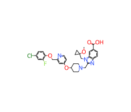 COC1(Cn2c(CN3CCC(Oc4ccnc(COc5ccc(Cl)cc5F)c4)CC3)nc3ccc(C(=O)O)cc32)CC1